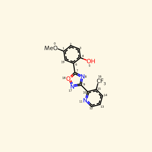 COc1ccc(O)c(-c2nc(-c3ncccc3C(F)(F)F)no2)c1